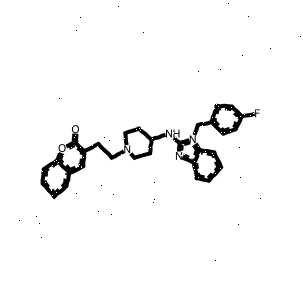 O=c1oc2ccccc2cc1CCN1CCC(Nc2nc3ccccc3n2Cc2ccc(F)cc2)CC1